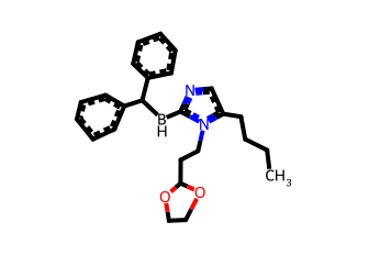 CCCCc1cnc(BC(c2ccccc2)c2ccccc2)n1CCC1OCCO1